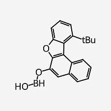 CC(C)(C)c1cccc2oc3c(OBO)cc4ccccc4c3c12